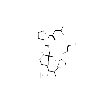 C=C(CC(C)C)N1CCC[C@H]1C(=O)OC(C[C@@H](C)CC(O)C(C)C1N[C@H](CCC=O)CS1)C(C)(C)C